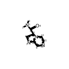 CN(C)C(=O)c1cnc2cnccn12